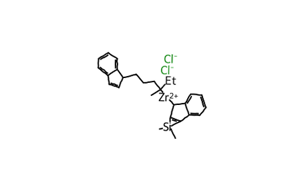 CC[C](C)(CCCC1C=Cc2ccccc21)[Zr+2][CH]1C2=C(c3ccccc31)[Si]2(C)C.[Cl-].[Cl-]